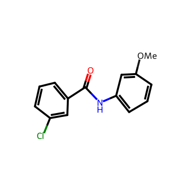 COc1cccc(NC(=O)c2cccc(Cl)c2)c1